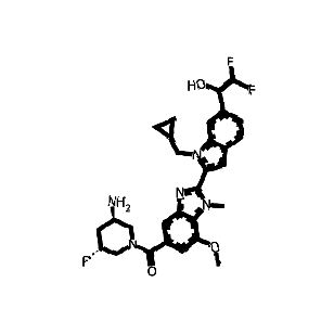 COc1cc(C(=O)N2C[C@H](N)C[C@@H](F)C2)cc2nc(-c3cc4ccc(C(O)C(F)F)cc4n3CC3CC3)n(C)c12